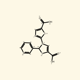 O=C(O)C1=CN(c2ncc(C(=O)O)s2)C(c2cccnc2)S1